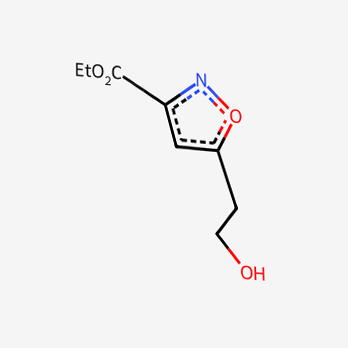 CCOC(=O)c1cc(CCO)on1